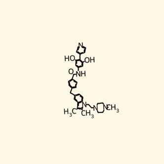 Cc1c(C)n(CCN2CCN(C)CC2)c2ccc(Cc3ccc(C(=O)Nc4cc(O)c(-c5ccncc5)c(O)c4)cc3)cc12